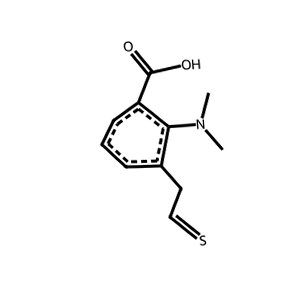 CN(C)c1c(CC=S)cccc1C(=O)O